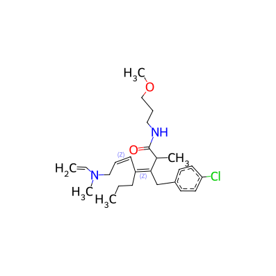 C=CN(C)C/C=C\C(CCC)=C(\Cc1ccc(Cl)cc1)C(C)C(=O)NCCCOC